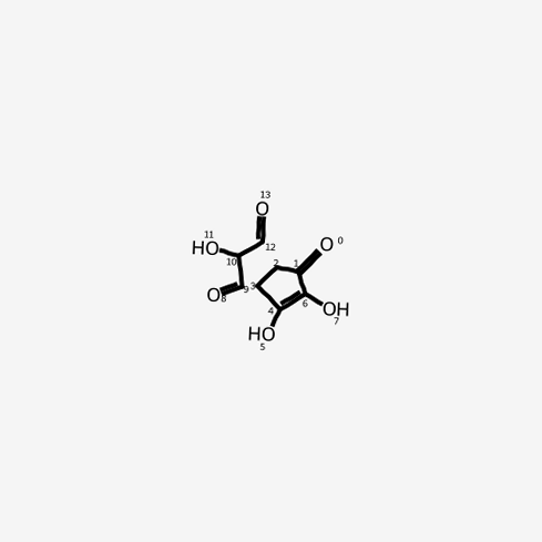 O=C1CCC(O)=C1O.O=CC(O)C=O